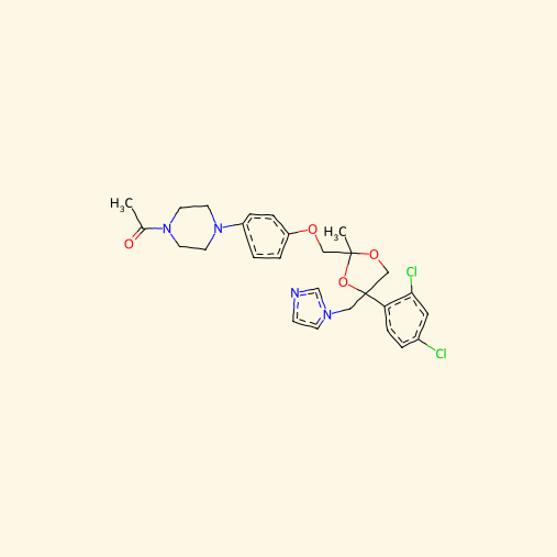 CC(=O)N1CCN(c2ccc(OCC3(C)OCC(Cn4ccnc4)(c4ccc(Cl)cc4Cl)O3)cc2)CC1